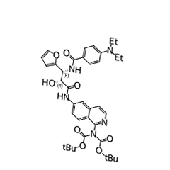 CCN(CC)c1ccc(C(=O)N[C@@H](c2ccco2)[C@@H](O)C(=O)Nc2ccc3c(N(C(=O)OC(C)(C)C)C(=O)OC(C)(C)C)nccc3c2)cc1